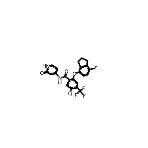 O=C(Nc1cc[nH]c(=O)c1)c1cc(Cl)c(C(F)(F)F)cc1Oc1ccc(F)c2c1CCC2